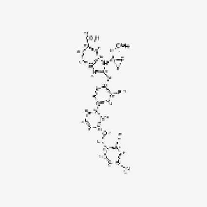 COCC1(n2c(Cc3ccc(-c4cccc(OCc5ccc(C#N)cc5F)n4)cc3F)nc3ccc(C(=O)O)cc32)CC1